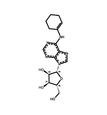 OC[C@H]1O[C@@H](n2cnc3c(NC4=CCCCC4)ncnc32)[C@H](O)[C@@H]1O